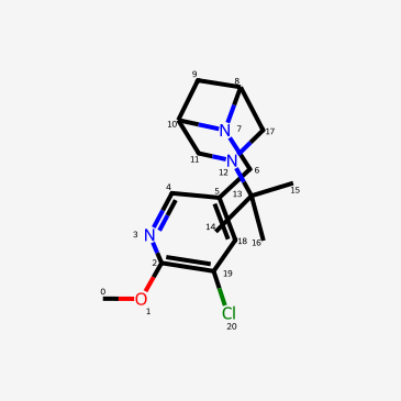 COc1ncc(CN2C3CC2CN(C(C)(C)C)C3)cc1Cl